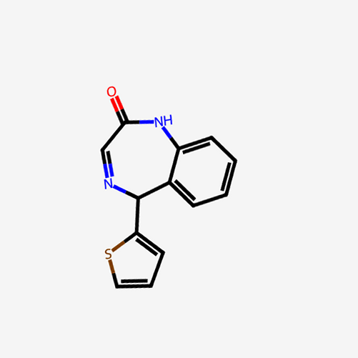 O=C1C=NC(c2cccs2)c2ccccc2N1